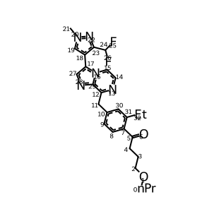 CCCOCCCC(=O)c1ccc(Cc2nccn3c(-c4cn(C)nc4C(F)F)cnc23)cc1CC